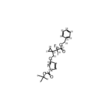 CC(C)(C)OC(=O)n1ccc(OCC2(C(F)(I)C(=O)OCc3ccccc3)CC2)n1